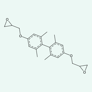 Cc1cc(OCC2CO2)cc(C)c1-c1c(C)cc(OCC2CO2)cc1C